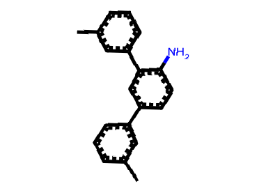 Cc1cccc(-c2ccc(N)c(-c3cccc(C)c3)c2)c1